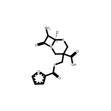 NC1C(=O)N2CC(CSC(=O)c3ccco3)(C(=O)O)CS[C@H]12